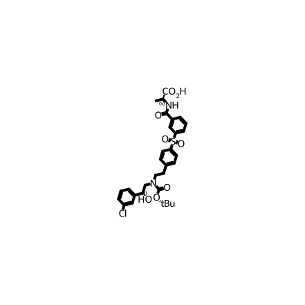 C[C@H](NC(=O)c1cccc(S(=O)(=O)c2ccc(CCN(C[C@H](O)c3cccc(Cl)c3)C(=O)OC(C)(C)C)cc2)c1)C(=O)O